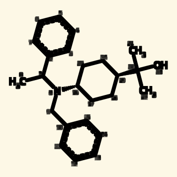 CC(c1ccccc1)N(Cc1ccccc1)[C@H]1CC[C@H](C(C)(C)O)CC1